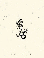 CCC(C)(S(=O)(=O)CC)S(=O)(=O)CCOC(c1ccccc1C(=O)OC)C(F)(F)F